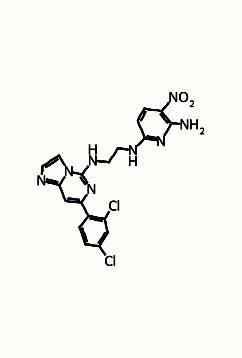 Nc1nc(NCCNc2nc(-c3ccc(Cl)cc3Cl)cc3nccn23)ccc1[N+](=O)[O-]